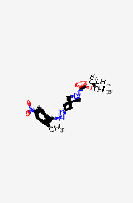 Cc1cc([N+](=O)[O-])ccc1NC1CC2(C1)CN(C(=O)OC(C)(C)C)C2